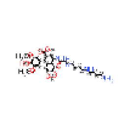 COc1cc(C2c3cc4c(cc3C(NC(=O)CNCCCCNCCCCN)C3COC(=O)C23)OCO4)cc(OC)c1O